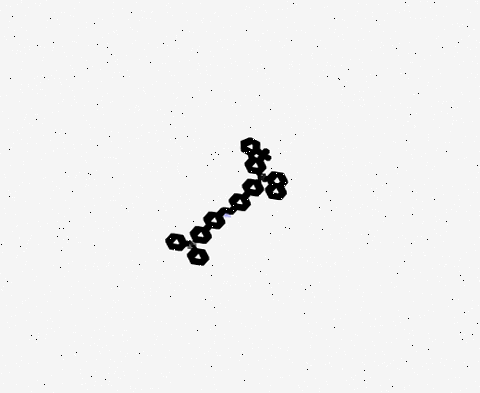 CC1(C)c2ccccc2-c2ccc(N(c3ccc(-c4ccc(/C=C/c5ccc(-c6ccc(N(c7ccccc7)c7ccccc7)cc6)cc5)cc4)cc3)c3cccc4ccccc34)cc21